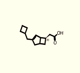 O=C(O)C[C@H]1CC2CC(CC3CCC3)=CC21